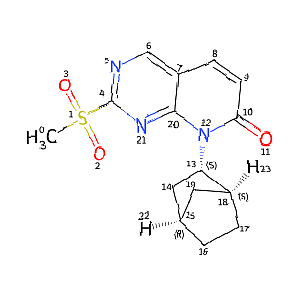 CS(=O)(=O)c1ncc2ccc(=O)n([C@H]3C[C@@H]4CC[C@H]3C4)c2n1